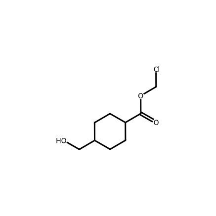 O=C(OCCl)C1CCC(CO)CC1